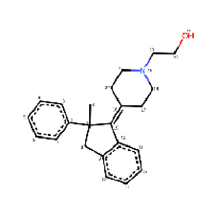 CC1(c2ccccc2)Cc2ccccc2C1=C1CCN(CCO)CC1